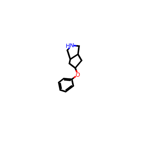 c1ccc(OC2CC3CNCC3C2)cc1